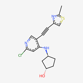 Cc1nc(C#Cc2cnc(Cl)cc2N[C@H]2CC[C@H](O)C2)cs1